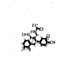 CCC(CC)NC[C@H](CC=O)N(Cc1cccc(F)c1F)c1ccc(C#N)c(Cl)c1